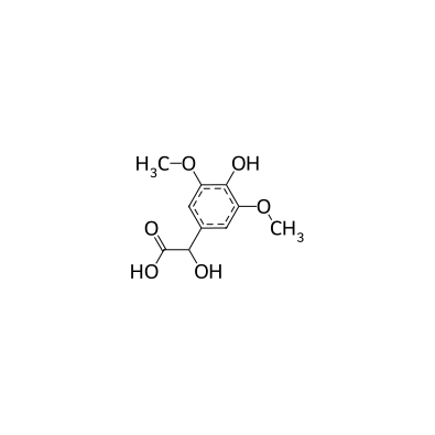 COc1cc(C(O)C(=O)O)cc(OC)c1O